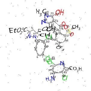 CCOC(=O)C1=NN(c2ccc(Cl)cc2Cl)C(C)(C(=O)OCC)C1.Cc1nn(C)c(O)c1C(=O)c1ccc(C(F)(F)F)cc1S(C)(=O)=O.Nc1cc(Cl)nc(C(=O)O)c1Cl